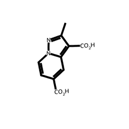 Cc1nn2ccc(C(=O)O)cc2c1C(=O)O